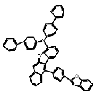 c1ccc(-c2ccc(N(c3ccc(-c4ccccc4)cc3)c3cccc4c3oc3cc5ccccc5c(-c5ccc(-c6cc7ccccc7o6)cc5)c34)cc2)cc1